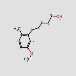 COc1ccc(C)c(CCCCCO)c1